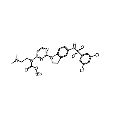 CN(C)CCN(C(=O)OC(C)(C)C)c1ccnc(N2CCc3cc(NS(=O)(=O)c4cc(Cl)cc(Cl)c4)ccc32)n1